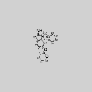 Nc1nc2ccc(OC3CCCCO3)cc2n1Cc1ccccc1